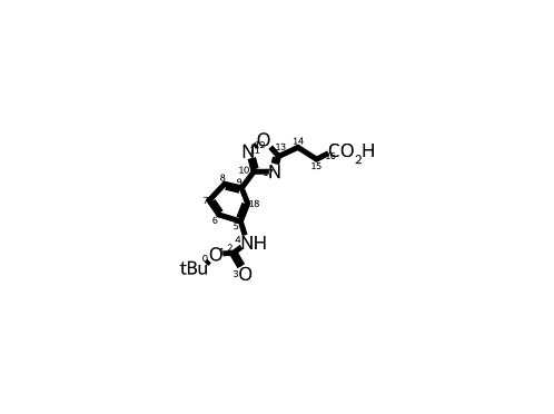 CC(C)(C)OC(=O)Nc1cccc(-c2noc(CCC(=O)O)n2)c1